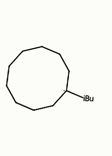 CCC(C)[C]1CCCCCCCCC1